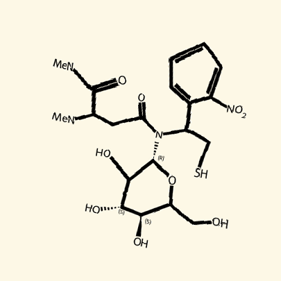 CNC(=O)C(CC(=O)N(C(CS)c1ccccc1[N+](=O)[O-])[C@@H]1OC(CO)[C@@H](O)[C@H](O)C1O)NC